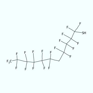 FC(F)(F)C(F)(F)C(F)(F)C(F)(F)C(F)(F)C(F)(F)CC(F)(F)C(F)(F)C(F)(F)C(F)(F)S